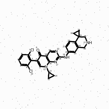 O=c1c(-c2c(Cl)cccc2Cl)cn(C2CC2)c2nc(Nc3ccc4c(c3)CNCC43CC3)ncc12